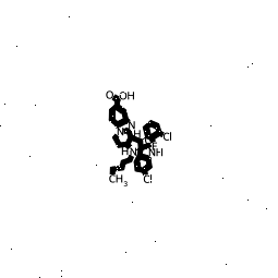 CCCCCN1[C@H]2CCn3c(nc4cc(C(=O)O)ccc43)[C@H]2[C@H](c2cccc(Cl)c2F)[C@]12C(=O)Nc1cc(Cl)ccc12